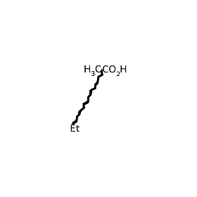 CCC=CCC=CCC=CCC=CCC=CCCC(C)C(=O)O